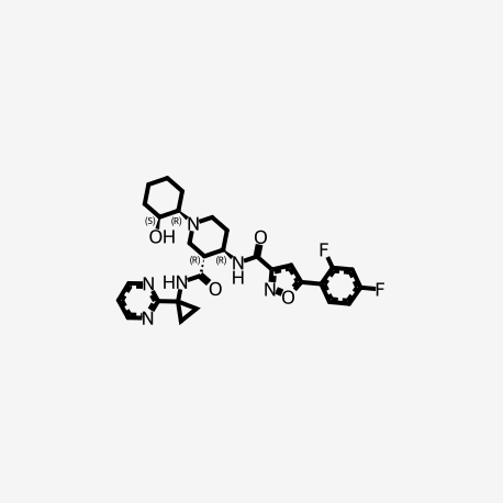 O=C(N[C@@H]1CCN([C@@H]2CCCC[C@@H]2O)C[C@H]1C(=O)NC1(c2ncccn2)CC1)c1cc(-c2ccc(F)cc2F)on1